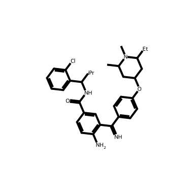 CCC1CC(Oc2ccc(C(=N)c3cc(C(=O)NC(c4ccccc4Cl)C(C)C)ccc3N)cc2)CC(C)N1C